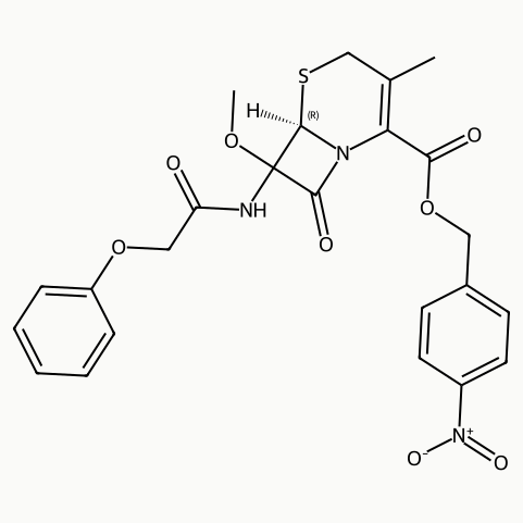 COC1(NC(=O)COc2ccccc2)C(=O)N2C(C(=O)OCc3ccc([N+](=O)[O-])cc3)=C(C)CS[C@@H]21